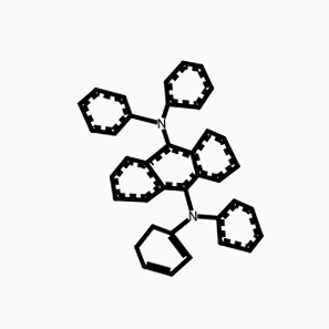 C1=CCCC(N(c2ccccc2)c2c3ccccc3c(N(c3ccccc3)c3ccccc3)c3ccccc23)=C1